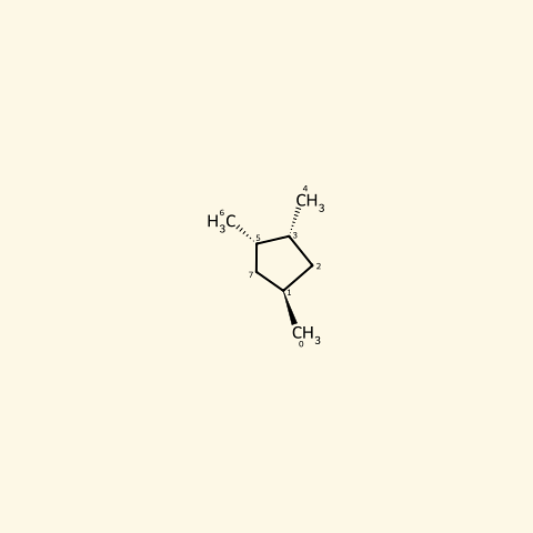 C[C@@H]1C[C@@H](C)[C@@H](C)C1